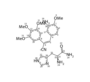 COc1ccc(C=C(C#N)c2cc(OC)c(OC)c(OC)c2)cc1N.NC(=O)[C@@H](N)Cc1c[nH]cn1